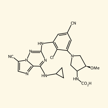 CO[C@@H]1CN(c2cc(C#N)cc(Nc3nc(NC4CC4)c4ncc(C#N)n4n3)c2Cl)CC1NC(=O)O